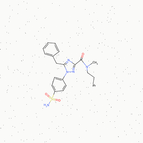 CC(C)CCN(C)C(=O)c1nc(Cc2ccccc2)n(-c2ccc(S(N)(=O)=O)cc2)n1